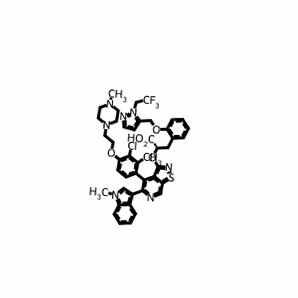 Cc1c(-c2c(-c3cn(C)c4ccccc34)ncc3snc(O[C@H](Cc4ccccc4OCc4ccnn4CC(F)(F)F)C(=O)O)c23)ccc(OCCN2CCN(C)CC2)c1Cl